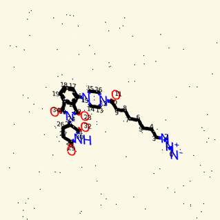 [N-]=[N+]=NCCCCCCCC(=O)N1CCN(c2cccc3c2C(=O)N(C2CCC(=O)NC2=O)C3=O)CC1